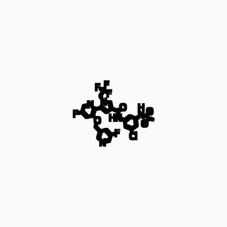 CS(=O)(=O)Nc1cc(Cl)cc(NC(=O)c2cc(-c3ncc(F)cc3OCc3cncc(F)c3)n(CC(F)(F)F)c2)c1